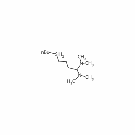 CCCC[SiH2]CCCC(N(C)C)N(C)C